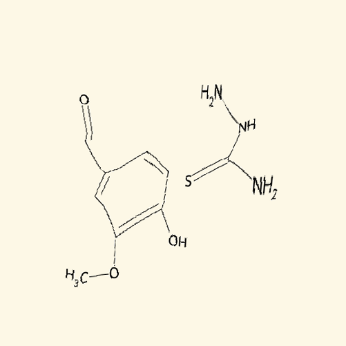 COc1cc(C=O)ccc1O.NNC(N)=S